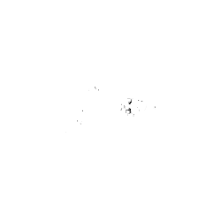 COc1cc(C)c(S(=O)(=O)N(C)CCOCC(=O)N(C)[C@H]2CC[C@H](N3CCN(C(C)C)CC3)CC2)c(C)c1